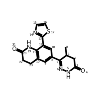 CC1CC(=O)NN=C1c1cc2c(c(-c3nccs3)c1)NC(=O)CC2